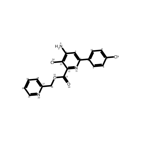 Nc1cc(-c2ccc(Cl)cc2)nc(C(=O)OCc2ccccn2)c1Cl